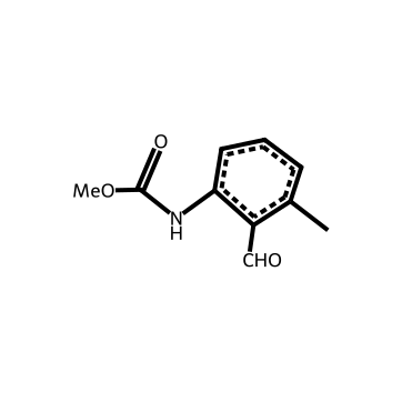 COC(=O)Nc1cccc(C)c1C=O